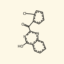 O=C(c1nc(O)c2ccccc2n1)c1ccccc1Cl